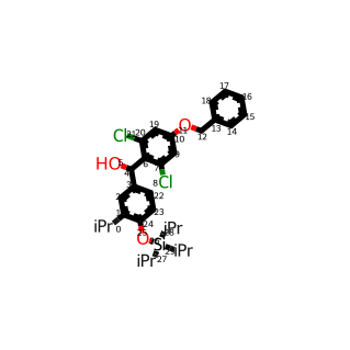 CC(C)c1cc(C(O)c2c(Cl)cc(OCc3ccccc3)cc2Cl)ccc1O[Si](C(C)C)(C(C)C)C(C)C